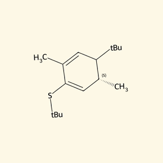 CC1=CC(C(C)(C)C)[C@H](C)C=C1SC(C)(C)C